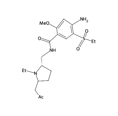 CCN1C(CC(C)=O)CC[C@H]1CNC(=O)c1cc(S(=O)(=O)CC)c(N)cc1OC